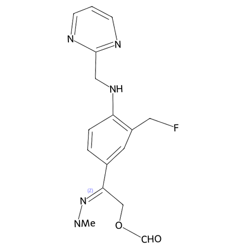 CN/N=C(\COC=O)c1ccc(NCc2ncccn2)c(CF)c1